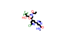 C=CC(=O)N1C[C@@H](c2cc(Cl)nc(-c3cc(C(=O)NC)ncn3)c2)O[C@H]([C@@H](O)C(F)(F)F)C1